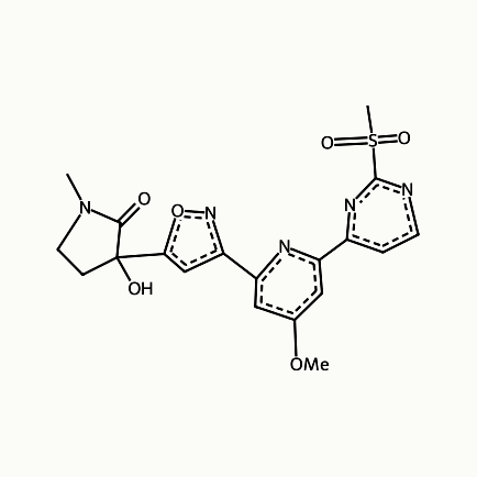 COc1cc(-c2cc(C3(O)CCN(C)C3=O)on2)nc(-c2ccnc(S(C)(=O)=O)n2)c1